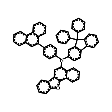 c1ccc(C2(c3ccccc3)c3ccccc3-c3ccc(N(c4ccc(-c5cc6ccccc6c6ccccc56)cc4)c4cc5c6ccccc6oc5c5ccccc45)cc32)cc1